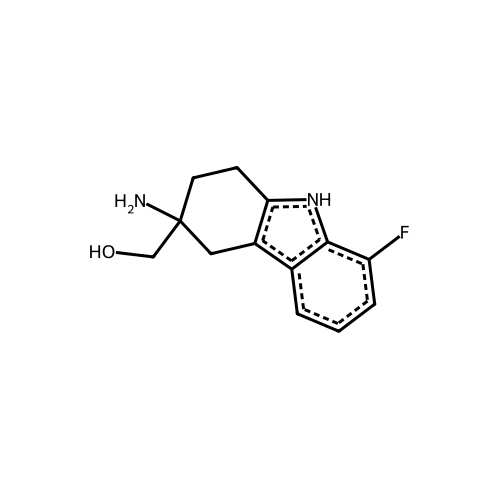 NC1(CO)CCc2[nH]c3c(F)cccc3c2C1